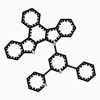 c1ccc(-c2cc(-n3c4ccccc4c4c5ccccc5c5c6ccccc6oc5c43)cc(-c3ccccn3)n2)cc1